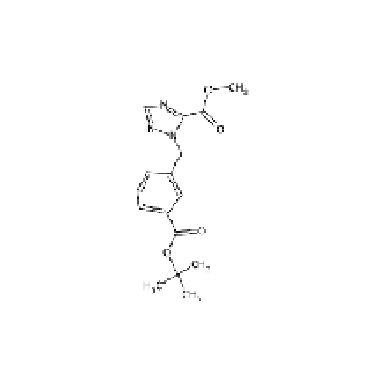 COC(=O)c1ncnn1Cc1cccc(C(=O)OC(C)(C)C)c1